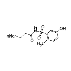 CCCCCCCCCCCC(=O)NS(=O)(=O)c1cc(O)ccc1C